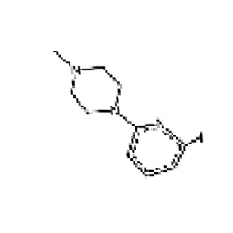 CN1CCN(c2cccc(I)n2)CC1